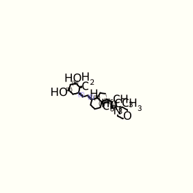 C=C1/C(=C\C=C2/CCC[C@]3(C)[C@@H]([C@H](C)CN4CCOCC4(C)C)CC[C@@H]23)C[C@@H](O)C[C@@H]1O